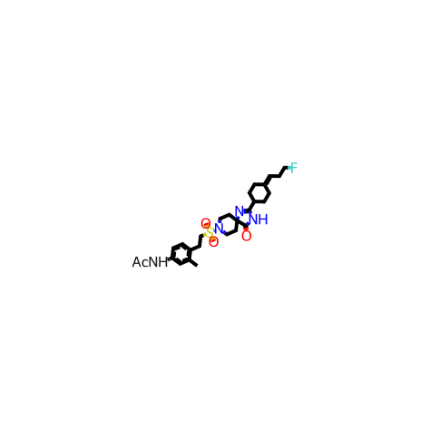 CC(=O)Nc1ccc(CCS(=O)(=O)N2CCC3(CC2)N=C(C2CCC(=CCCF)CC2)NC3=O)c(C)c1